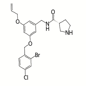 C=CCOc1cc(CNC(=O)[C@@H]2CCNC2)cc(OCc2ccc(Cl)cc2Br)c1